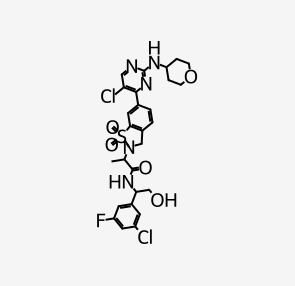 CC(C(=O)NC(CO)c1cc(F)cc(Cl)c1)N1Cc2ccc(-c3nc(NC4CCOCC4)ncc3Cl)cc2S1(=O)=O